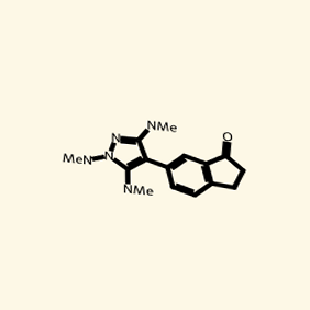 CNc1nn(NC)c(NC)c1-c1ccc2c(c1)C(=O)CC2